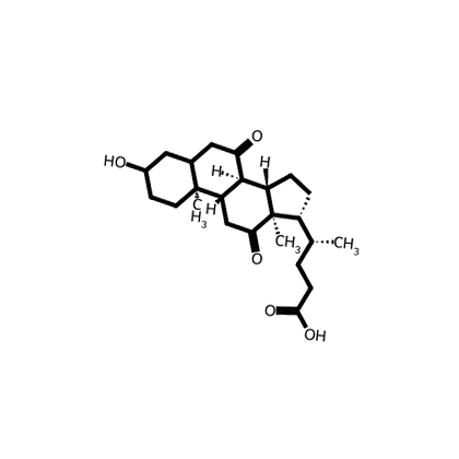 C[C@H](CCC(=O)O)[C@H]1CC[C@H]2[C@@H]3C(=O)CC4CC(O)CC[C@]4(C)[C@H]3CC(=O)[C@]12C